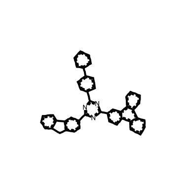 c1ccc(-c2ccc(-c3nc(-c4ccc5c(c4)-c4ccccc4C5)nc(-c4ccc5c6ccccc6c6ccccc6c5c4)n3)cc2)cc1